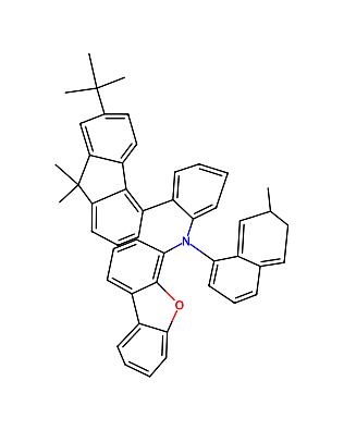 CC1C=c2c(N(c3ccccc3-c3cccc4c3-c3ccc(C(C)(C)C)cc3C4(C)C)c3cccc4c3oc3ccccc34)cccc2=CC1